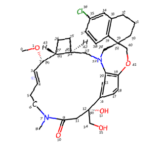 CO[C@H]1/C=C/CCN(C)C(=O)C[C@](O)(CO)c2ccc3c(c2)N(C[C@@H]2CC[C@H]21)C[C@@]1(CCCc2cc(Cl)ccc21)CO3